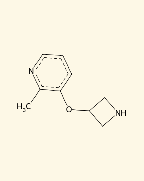 Cc1ncccc1OC1CNC1